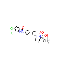 CC(C)(C)[C@H](NC(=O)[C@H]1CC[C@H](c2ccc(NC(=O)c3ccc(Cl)c(Cl)c3)cc2)CC1)C(=O)O